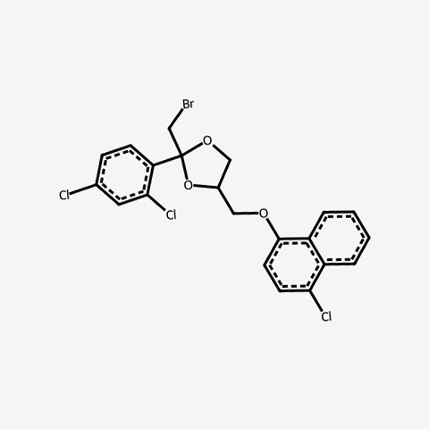 Clc1ccc(C2(CBr)OCC(COc3ccc(Cl)c4ccccc34)O2)c(Cl)c1